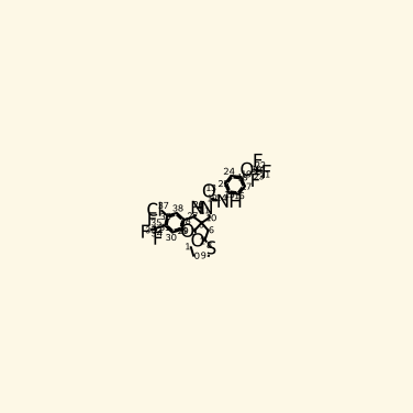 CCOC(=O)C1(CCSC)CN(C(=O)Nc2ccc(OC(F)(F)F)cc2)N=C1c1ccc(C(F)(F)F)c(Cl)c1